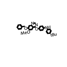 COc1cc2c(Oc3ccc(Nc4ccc(C(C)(C)C)cc4)cc3)ncnc2cc1OCc1ccccc1